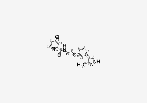 Cc1n[nH]cc1-c1c[c]cc(OCCNC(=O)c2cc(Cl)ccn2)c1